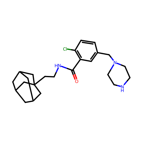 O=C(NCCC12CC3CC(CC(C3)C1)C2)c1cc(CN2CCNCC2)ccc1Cl